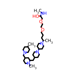 CNC(O)COCCOCCC[C@H](C)N1CCC(N2CCC(CC3CC(CN4CCC(C)CC4)CCN3C)CC2)CC1